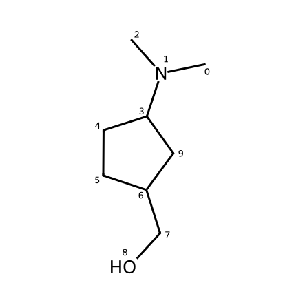 CN(C)C1CCC(CO)C1